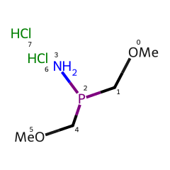 COCP(N)COC.Cl.Cl